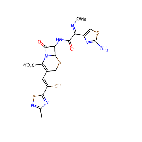 CON=C(C(=O)NC1C(=O)N2C(C(=O)O)=C(C=C(S)c3nc(C)ns3)CSC12)c1csc(N)n1